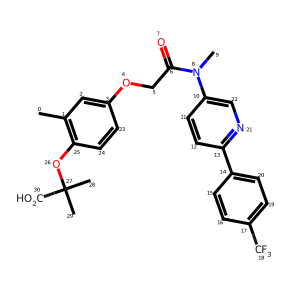 Cc1cc(OCC(=O)N(C)c2ccc(-c3ccc(C(F)(F)F)cc3)nc2)ccc1OC(C)(C)C(=O)O